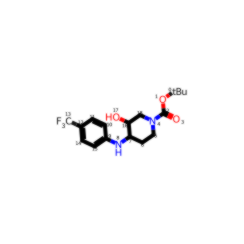 CC(C)(C)OC(=O)N1CCC(Nc2ccc(C(F)(F)F)cc2)C(O)C1